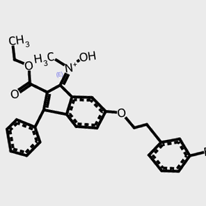 CCOC(=O)C1=C(c2ccccc2)c2ccc(OCCc3cccc(F)c3)cc2/C1=[N+](/C)O